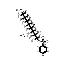 O=S(=O)(OC(F)(F)C(F)(F)C(F)(F)C(F)(F)C(F)(F)C(F)(F)C(F)(F)C(F)(F)C(F)(F)F)c1ccccc1.[NaH]